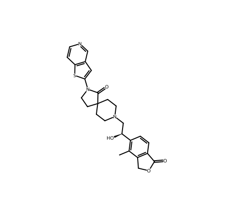 Cc1c([C@@H](O)CN2CCC3(CC2)CCN(c2cc4cnccc4s2)C3=O)ccc2c1COC2=O